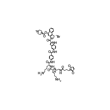 CN1CCN(C(=O)Oc2cc3c(c4ccccc24)[C@H](CBr)CN3C(=O)c2cc3cc(NC(=O)c4ccc(NC(=O)[C@H](CCCCN)NC(=O)[C@H](CCCCN)NCCNC(=O)CCCN5C(=O)C=CC5=O)cc4)ccc3[nH]2)CC1